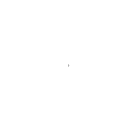 C1=CCC(P(C2CCCCC2)C2CCCCC2)=C1